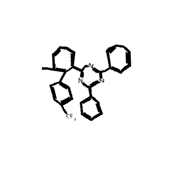 Cc1cccc(-c2nc(-c3ccccc3)nc(-c3ccccc3)n2)c1-c1ccc(C(F)(F)F)cc1